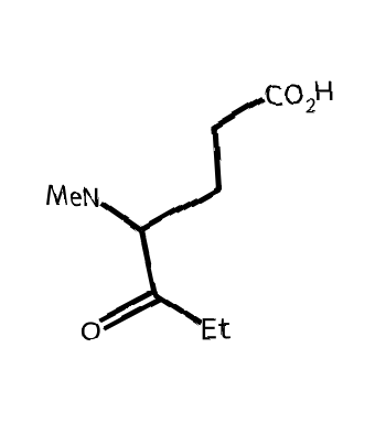 CCC(=O)C(CCC(=O)O)NC